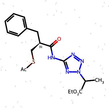 CCOC(=O)C(C)n1nnc(NC(=O)[C@@H](CSC(C)=O)Cc2ccccc2)n1